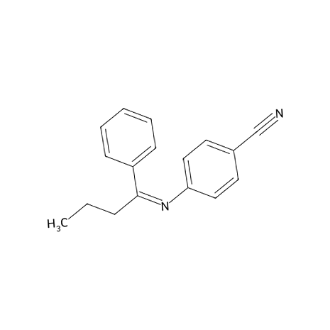 CCCC(=Nc1ccc(C#N)cc1)c1ccccc1